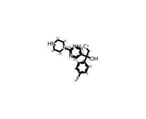 CCC(O)(c1ccc(F)cc1)c1cnc(N2CCNCC2)nc1